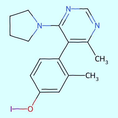 Cc1cc(OI)ccc1-c1c(C)ncnc1N1CCCC1